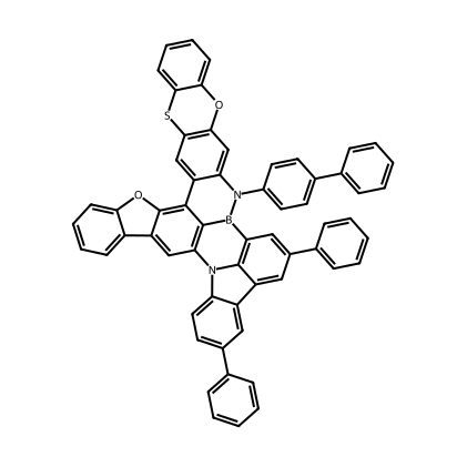 c1ccc(-c2ccc(N3B4c5c(cc6c(oc7ccccc76)c5-c5cc6c(cc53)Oc3ccccc3S6)-n3c5ccc(-c6ccccc6)cc5c5cc(-c6ccccc6)cc4c53)cc2)cc1